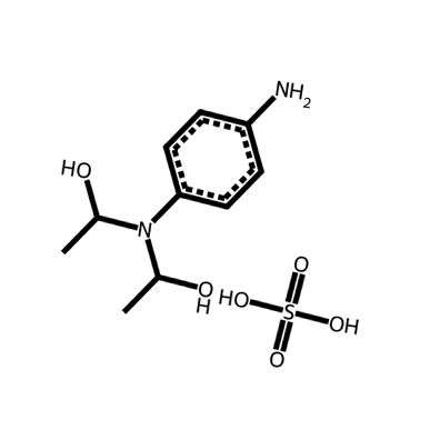 CC(O)N(c1ccc(N)cc1)C(C)O.O=S(=O)(O)O